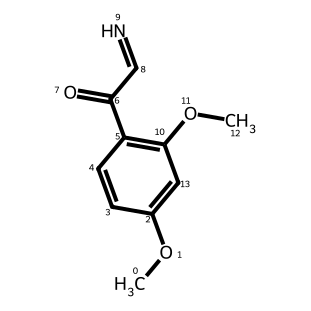 COc1ccc(C(=O)C=N)c(OC)c1